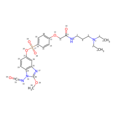 CCN(CC)CCCNC(=O)COc1ccc(S(=O)(=O)Oc2ccc3c(c2)nc(OC)n3N=C=O)cc1